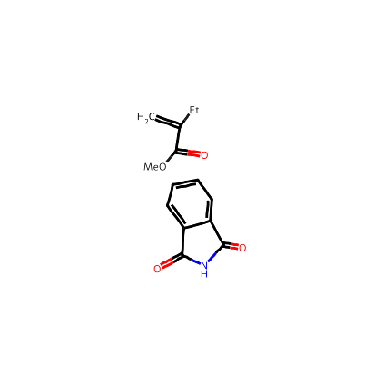 C=C(CC)C(=O)OC.O=C1NC(=O)c2ccccc21